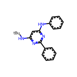 CC(C)(C)Nc1cc(Nc2ccccc2)nc(-c2ccccc2)n1